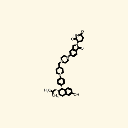 CC(C)C[C@H]1CCc2cc(O)ccc2[C@H]1c1ccc(N2CCC(CN3CCN(c4ccc5c(c4)CN(C4CCC(=O)NC4=O)C5=O)CC3)CC2)cc1